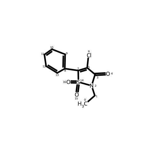 CCN1C(=O)C(Cl)=C(c2ccccc2)S1(=O)=O